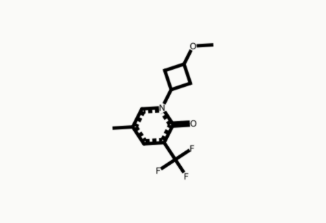 COC1CC(n2cc(C)cc(C(F)(F)F)c2=O)C1